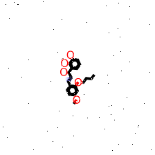 CCCCOc1cc(OC)ccc1/C=C/C(=O)c1cccc(OC)c1OC